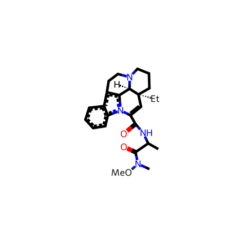 CC[C@@]12C=C(C(=O)NC(C)C(=O)N(C)OC)n3c4c(c5ccccc53)CCN(CCC1)[C@H]42